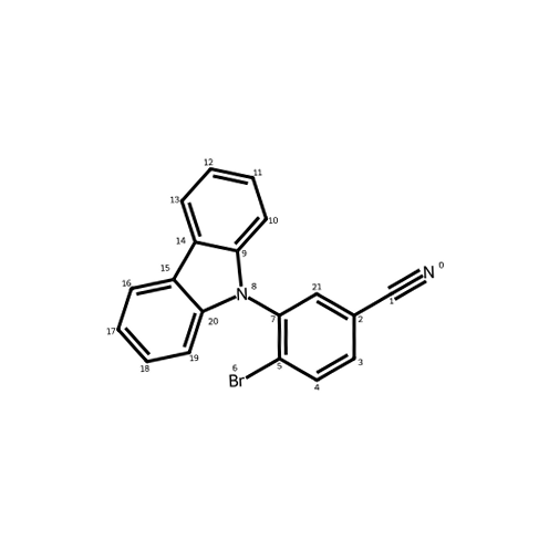 N#Cc1ccc(Br)c(-n2c3ccccc3c3ccccc32)c1